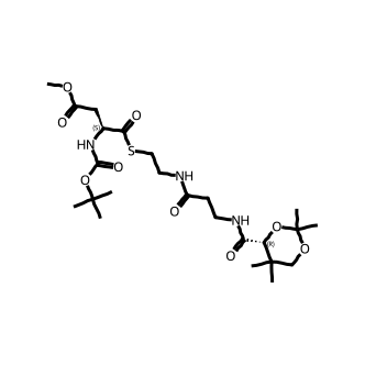 COC(=O)C[C@H](NC(=O)OC(C)(C)C)C(=O)SCCNC(=O)CCNC(=O)[C@@H]1OC(C)(C)OCC1(C)C